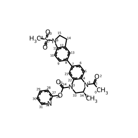 CC(=O)N1c2ccc(-c3ccc4c(c3)CCN4S(C)(=O)=O)cc2N(C(=O)Oc2ccccn2)C[C@@H]1C